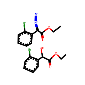 CCOC(=O)C(=[N+]=[N-])c1ccccc1Br.CCOC(=O)C(O)c1ccccc1Br